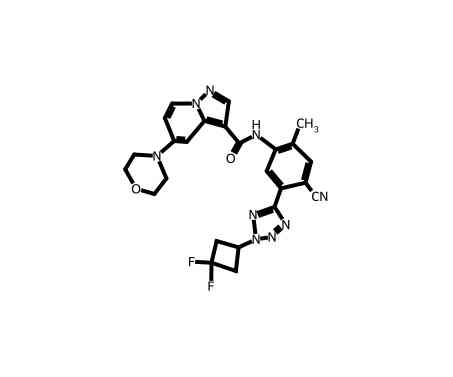 Cc1cc(C#N)c(-c2nnn(C3CC(F)(F)C3)n2)cc1NC(=O)c1cnn2ccc(N3CCOCC3)cc12